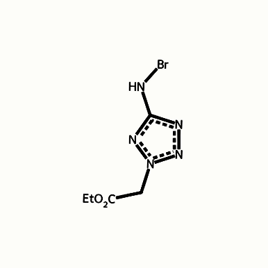 CCOC(=O)Cn1nnc(NBr)n1